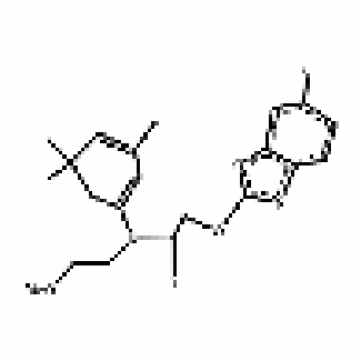 COCCN(C(=O)COc1nc2ccc(Cl)cc2o1)C1=CC(C)=CC(C)(C)C1